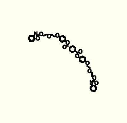 O=C(Oc1ccc(OCCOCCOc2nc3ccccc3o2)cc1)[C@H]1CC[C@H](C(=O)Oc2ccc(OCCOCCOc3nc4ccccc4o3)cc2)CC1